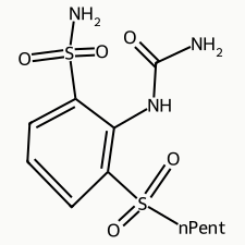 CCCCCS(=O)(=O)c1cccc(S(N)(=O)=O)c1NC(N)=O